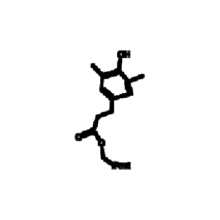 CCCC(C)COC(=O)CCc1cc(C)c(O)c(C)c1